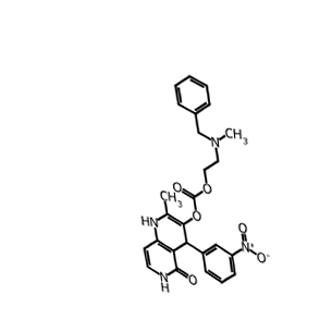 CC1=C(OC(=O)OCCN(C)Cc2ccccc2)C(c2cccc([N+](=O)[O-])c2)c2c(cc[nH]c2=O)N1